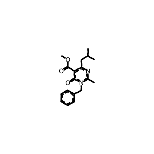 COC(=O)c1c(CC(C)C)nc(C)n(Cc2ccccc2)c1=O